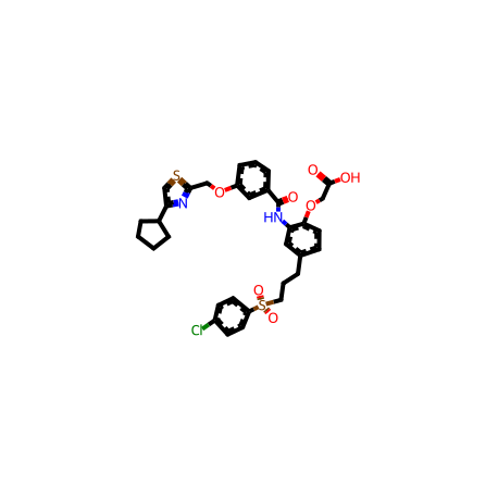 O=C(O)COc1ccc(CCCS(=O)(=O)c2ccc(Cl)cc2)cc1NC(=O)c1cccc(OCc2nc(C3CCCC3)cs2)c1